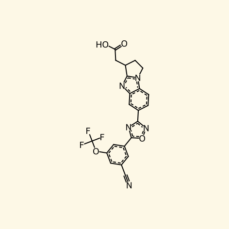 N#Cc1cc(OC(F)(F)F)cc(-c2nc(-c3ccc4c(c3)nc3n4CCC3CC(=O)O)no2)c1